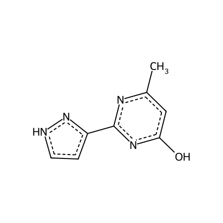 Cc1cc(O)nc(-c2cc[nH]n2)n1